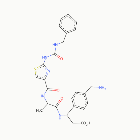 CC(NC(=O)c1csc(NC(=O)NCc2ccccc2)n1)C(=O)NC(CC(=O)O)c1ccc(CN)cc1